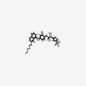 CCCCCSc1ccc2nccc(Oc3ccc(CC(=O)Nc4cnn(C(C)(C)C)c4)c(F)c3)c2c1